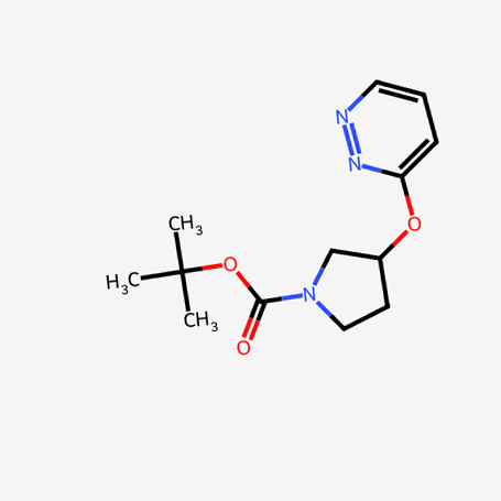 CC(C)(C)OC(=O)N1CCC(Oc2cccnn2)C1